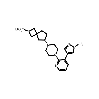 CCOC(=O)N1CC2(CC[C@@H](N3CCN(c4ncccc4-c4cnn(C(F)(F)F)c4)CC3)C2)C1